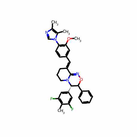 COc1cc(/C=C2\CCCN3C2=NOC(c2ccccc2)[C@@H]3c2cc(F)c(C)c(F)c2)ccc1-n1cnc(C)c1C